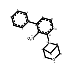 O=[N+]([O-])c1c(-c2ccccc2)ccnc1N1C2COCC1C2